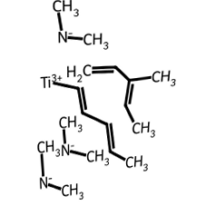 C=CC(C)=CC.CC=CC=[CH][Ti+3].C[N-]C.C[N-]C.C[N-]C